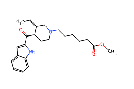 C/C=C1/CN(CCCCCC(=O)OC)CC[C@H]1C(=O)c1cc2ccccc2[nH]1